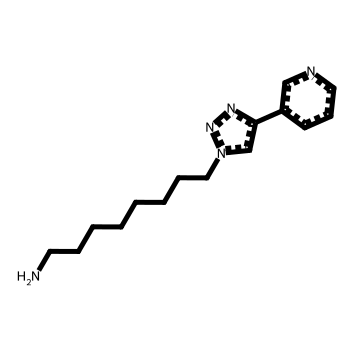 NCCCCCCCCn1cc(-c2cccnc2)nn1